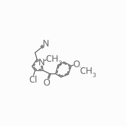 COc1ccc(C(=O)c2c(Cl)cc(CC#N)n2C)cc1